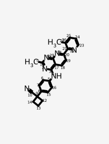 Cc1nc(Nc2ccc(C3(C#N)CCC3)cc2)c2ccc(-c3ncccc3C)nc2n1